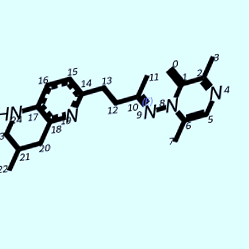 C=C1C(C)=NC=C(C)N1/N=C(\C)CCc1ccc2c(n1)CC(C)CN2